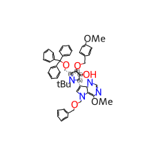 COc1ccc(CO[C@H]2[C@@H](O)[C@H](c3cn(COCc4ccccc4)c4c(OC)ncnc34)N(C(C)(C)C)[C@@H]2COC(c2ccccc2)(c2ccccc2)c2ccccc2)cc1